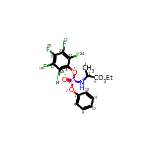 CCOC(=O)C(C)NP(=O)(Oc1ccccc1)Oc1c(F)c(F)c(F)c(F)c1F